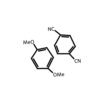 COc1ccc(OC)cc1.N#Cc1ccc(C#N)cc1